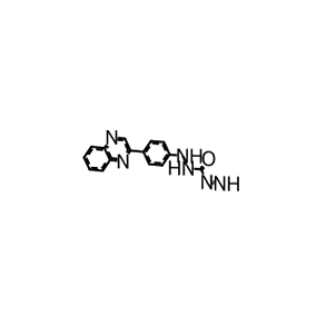 N=NC(=O)NNc1ccc(-c2cnc3ccccc3n2)cc1